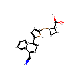 N#Cc1ccc(-c2ccc(SC3CCC3C(=O)O)s2)c2ccccc12